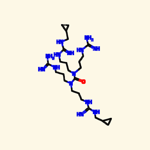 N=C(N)NCCCN(CCCNC(=N)NCC1CC1)C(=O)N(CCCNC(=N)N)CCCNC(=N)NCC1CC1